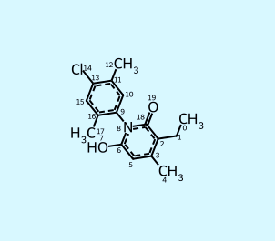 CCc1c(C)cc(O)n(-c2cc(C)c(Cl)cc2C)c1=O